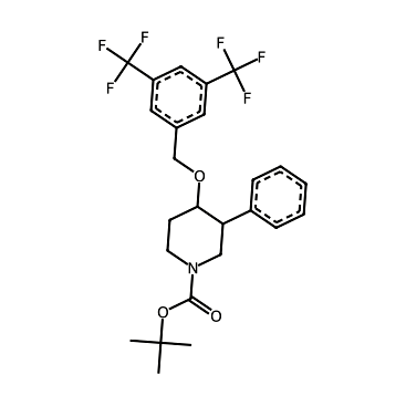 CC(C)(C)OC(=O)N1CCC(OCc2cc(C(F)(F)F)cc(C(F)(F)F)c2)C(c2ccccc2)C1